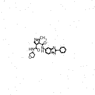 Cn1ncc(C(=O)N[C@@H]2CCOC2)c1C(=O)Nc1ccn2nc(-c3ccccc3)nc2c1